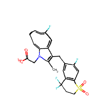 Cc1c(Cc2cc3c(cc2F)S(=O)(=O)CCC3(F)F)c2c(n1CC(=O)O)=CCC=C(F)C=2